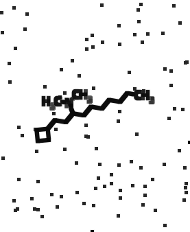 CCCCCCCC(CCC1CCC1)N(C)C